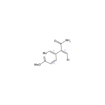 C=C(\C=C/C(=C\C(C)CC)C(=C\CC)/C(N)=O)OC